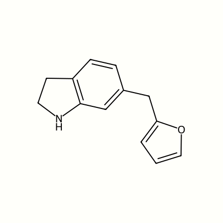 c1coc(Cc2ccc3c(c2)NCC3)c1